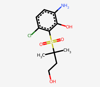 CC(C)(CCO)S(=O)(=O)c1c(Cl)ccc(N)c1O